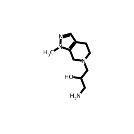 Cn1ncc2c1CN(CC(O)CN)CC2